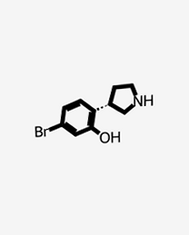 Oc1cc(Br)ccc1[C@@H]1CCNC1